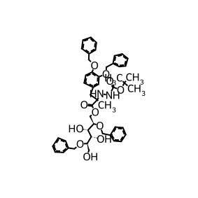 CC(C)(C)OC(=O)NNC(C)(Cc1ccc(OCc2ccccc2)c(OCc2ccccc2)c1)C(=O)OC[C@@H](OCc1ccccc1)[C@@H](O)[C@H](O)[C@@H](CO)OCc1ccccc1